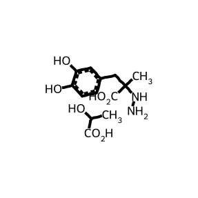 CC(Cc1ccc(O)c(O)c1)(NN)C(=O)O.CC(O)C(=O)O